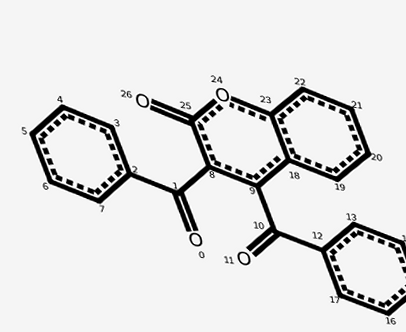 O=C(c1ccccc1)c1c(C(=O)c2ccccc2)c2ccccc2oc1=O